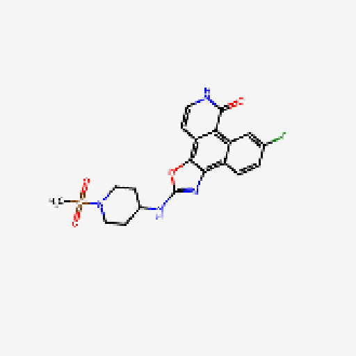 CS(=O)(=O)N1CCC(Nc2nc3c4ccc(F)cc4c4c(=O)[nH]ccc4c3o2)CC1